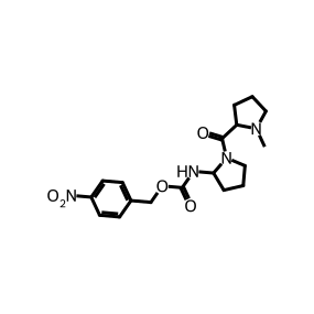 CN1CCCC1C(=O)N1CCCC1NC(=O)OCc1ccc([N+](=O)[O-])cc1